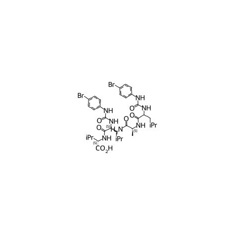 CC(C)CC(NC(=O)Nc1ccc(Br)cc1)C(=O)N[C@@H](C)C(N)=O.CC(C)C[C@H](NC(=O)Nc1ccc(Br)cc1)C(=O)N[C@H](C(=O)O)C(C)C